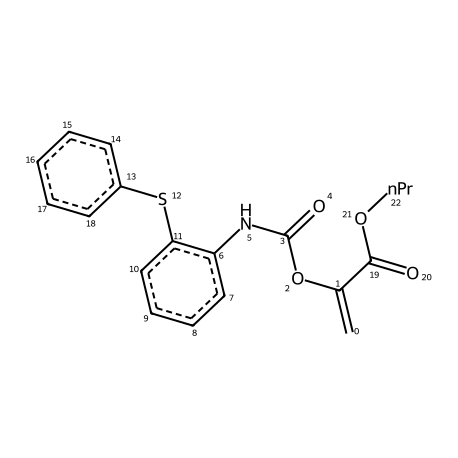 C=C(OC(=O)Nc1ccccc1Sc1ccccc1)C(=O)OCCC